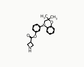 CC1(C)CN(c2cccc(OC(=O)C3CNC3)c2)c2ccccc2O1